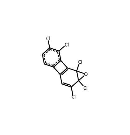 ClC1=CC2=C(c3c2ccc(Cl)c3Cl)C2(Cl)OC12Cl